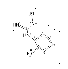 CCNC(=N)Nc1ccccc1C(F)(F)F